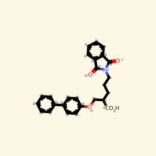 O=C(O)C(CCCN1C(=O)c2ccccc2C1=O)COc1ccc(-c2ccccc2)cc1